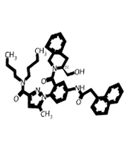 CCCCN(CCCC)C(=O)c1cc(C)n(-c2ccc(NC(=O)Cc3cccc4ccccc34)cc2C(=O)N2Cc3ccccc3C[C@H]2CO)n1